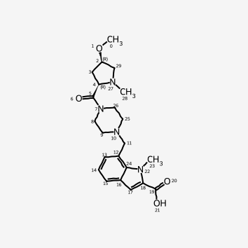 CO[C@@H]1C[C@H](C(=O)N2CCN(Cc3cccc4cc(C(=O)O)n(C)c34)CC2)N(C)C1